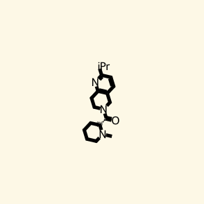 CC(C)c1ccc2c(n1)CCN(C(=O)[C@H]1CCCCN1C)C2